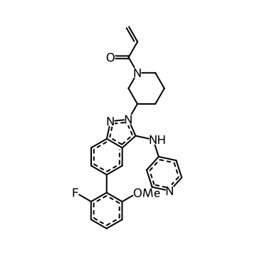 C=CC(=O)N1CCCC(n2nc3ccc(-c4c(F)cccc4OC)cc3c2Nc2ccncc2)C1